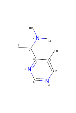 Cc1cncnc1C(C)N(C)C